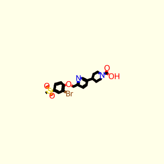 CS(=O)(=O)c1ccc(OCc2ccc(C3CCN(C(=O)O)CC3)cn2)c(Br)c1